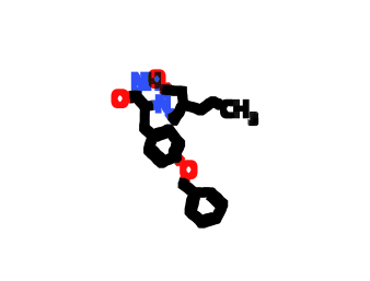 CCCC1CC(=O)N(C(Cc2ccc(OCc3ccccc3)cc2)C(N)=O)C1